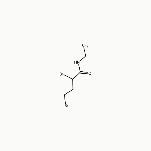 O=C(NCC(F)(F)F)C(Br)CCBr